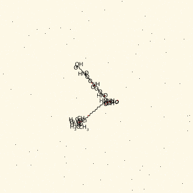 CC(C)(C)OP(=O)(CCCCCCCCCCCCCCCCCCC(=O)NC(CCC(=O)NCCOCCOCC(=O)NCCOCCOCC(=O)NCCCCCC(=O)O)(NC(=O)OCc1ccccc1)C(=O)O)OC(C)(C)C